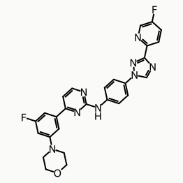 Fc1ccc(-c2ncn(-c3ccc(Nc4nccc(-c5cc(F)cc(N6CCOCC6)c5)n4)cc3)n2)nc1